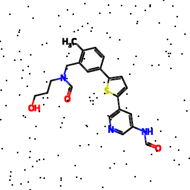 Cc1ccc(-c2ccc(-c3cncc(NC=O)c3)s2)cc1CN(C=O)CCCO